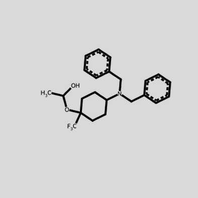 CC(O)OC1(C(F)(F)F)CCC(N(Cc2ccccc2)Cc2ccccc2)CC1